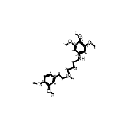 COc1ccc(CCN(C)CCCNc2cc(OC)c(OC)c(OC)c2)cc1OC